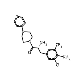 Nc1c(Cl)cc(C[C@@H](N)C(=O)N2CCN(c3ccncc3)CC2)cc1C(F)(F)F